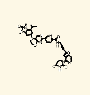 CC(C)c1cc(N2CCOc3nc(-c4ccc(C(=O)NCC#Cc5cc6c(N7CCC(=O)NC7=O)nccc6o5)nc4)ncc32)cc2c1n(C)c(=O)n2C